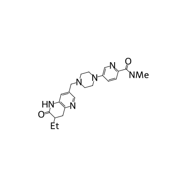 CCC1Cc2ncc(CN3CCN(c4ccc(C(=O)NC)nc4)CC3)cc2NC1=O